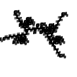 CCCCCCCCCCC(CN(CCCNC(=O)CN(C)CC(=O)NCCCN(CC(CCCCCCCCCC)O[Si](C)(C)C(C)(C)C)CC(CCCCCCCCCC)O[Si](C)(C)C(C)(C)C)CC(CCCCCCCCCC)O[Si](C)(C)C(C)(C)C)O[Si](C)(C)C(C)(C)C